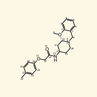 COc1ccccc1CN1CCC(NC(=O)COc2ccc(C)cc2)CC1